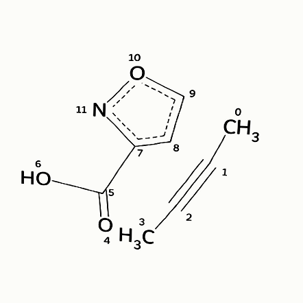 CC#CC.O=C(O)c1ccon1